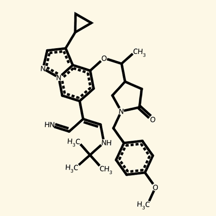 COc1ccc(CN2CC(C(C)Oc3cc(/C(C=N)=C/NC(C)(C)C)cn4ncc(C5CC5)c34)CC2=O)cc1